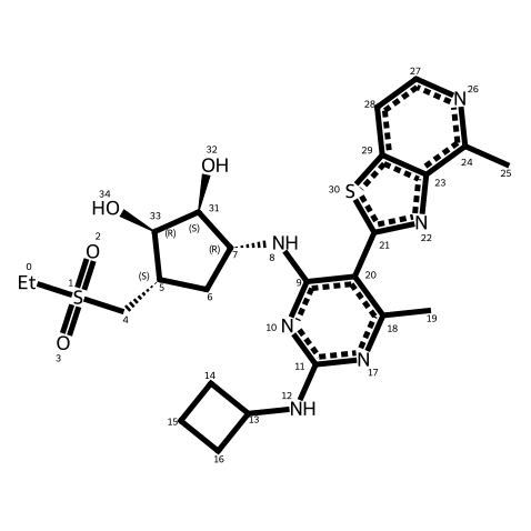 CCS(=O)(=O)C[C@H]1C[C@@H](Nc2nc(NC3CCC3)nc(C)c2-c2nc3c(C)nccc3s2)[C@H](O)[C@@H]1O